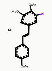 COc1ccc(C=Cc2cc(I)c(OC)c(OC)c2)cc1.[KH]